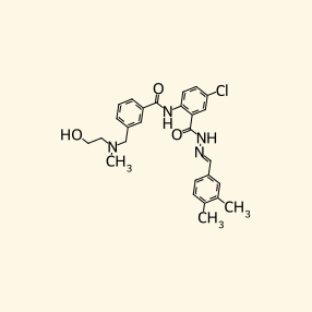 Cc1ccc(/C=N/NC(=O)c2cc(Cl)ccc2NC(=O)c2cccc(CN(C)CCO)c2)cc1C